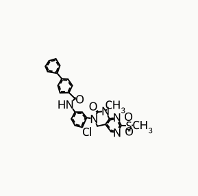 CN1C(=O)N(c2cc(NC(=O)c3ccc(-c4ccccc4)cc3)ccc2Cl)Cc2cnc(S(C)(=O)=O)nc21